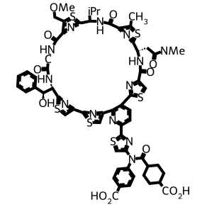 CNC(=O)C[C@@H]1NC(=O)c2csc(n2)-c2ccc(-c3nc(N(C(=O)C4CCC(C(=O)O)CC4)c4ccc(C(=O)O)cc4)cs3)nc2-c2csc(n2)-c2csc(n2)[C@H]([C@@H](O)c2ccccc2)NC(=O)CNC(=O)c2nc(sc2COC)C(C(C)C)NC(=O)c2nc1sc2C